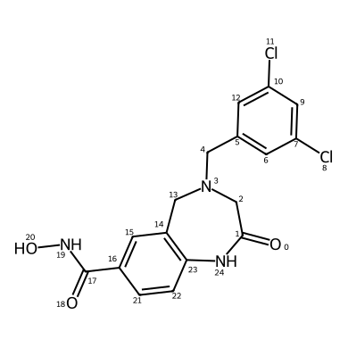 O=C1CN(Cc2cc(Cl)cc(Cl)c2)Cc2cc(C(=O)NO)ccc2N1